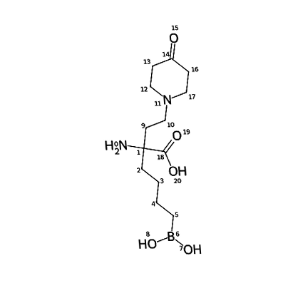 NC(CCCCB(O)O)(CCN1CCC(=O)CC1)C(=O)O